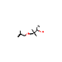 C=C(C)COCC(C)(C)C(O)C(C)C